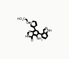 Nc1c(-c2cccc3[nH]ncc23)cc(-c2ccc[n+](OCC(=O)O)c2)c2nc[nH]c(=O)c12